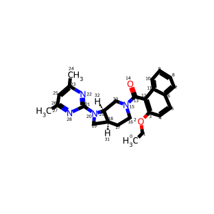 CCOc1ccc2ccccc2c1C(=O)N1CC[C@H]2CN(c3nc(C)cc(C)n3)[C@H]2C1